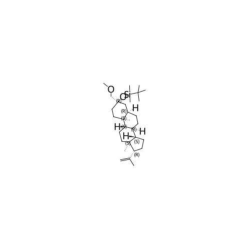 C=C(C)[C@H]1CC[C@H]2[C@@H]3CC[C@@H]4C[C@](COC)(O[Si](C)(C)C(C)(C)C)CC[C@]4(C)[C@H]3CC[C@]12C